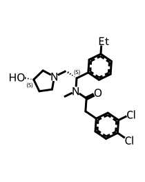 CCc1cccc([C@@H](CN2CC[C@H](O)C2)N(C)C(=O)Cc2ccc(Cl)c(Cl)c2)c1